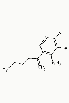 C=C(CCCC)c1cnc(Cl)c(F)c1N